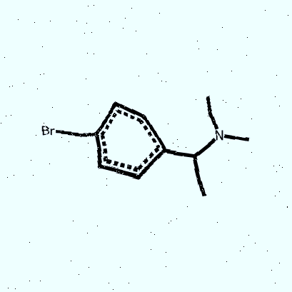 CC(c1ccc(Br)cc1)N(C)C